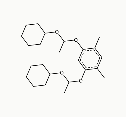 Cc1cc(C)c(OC(C)OC2CCCCC2)cc1OC(C)OC1CCCCC1